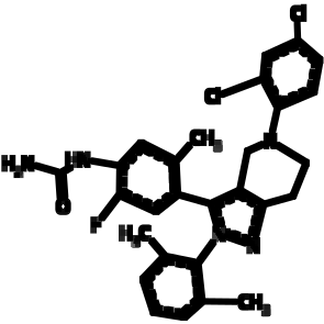 Cc1cc(NC(N)=O)c(F)cc1-c1c2c(nn1-c1c(C)cccc1C)CCN(c1ccc(Cl)cc1Cl)C2